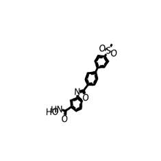 CS(=O)(=O)c1ccc(-c2ccc(-c3nc4cc(C(=O)NO)ccc4o3)cc2)cc1